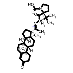 C/C(=N\OC(=O)[C@@]1(C(C)(C)C)CCCN1C(=O)O)[C@H]1CC[C@H]2[C@@H]3CCC4=CC(=O)CC[C@]4(C)[C@H]3CC[C@]12C